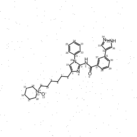 O=C(Nc1nc(CCCCCC[N+]2([O-])CCCCC2)cn1-c1ccccc1)c1cccc(-c2cn[nH]c2)c1